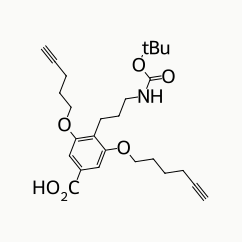 C#CCCCCOc1cc(C(=O)O)cc(OCCCC#C)c1CCCNC(=O)OC(C)(C)C